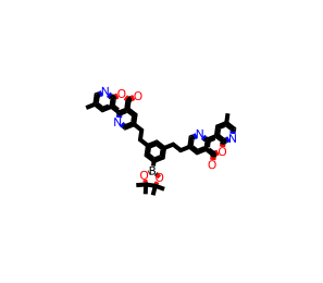 Cc1cnc2oc(=O)c3cc(CCc4cc(CCc5cnc6c(c5)c(=O)oc5ncc(C)cc56)cc(B5OC(C)(C)C(C)(C)O5)c4)cnc3c2c1